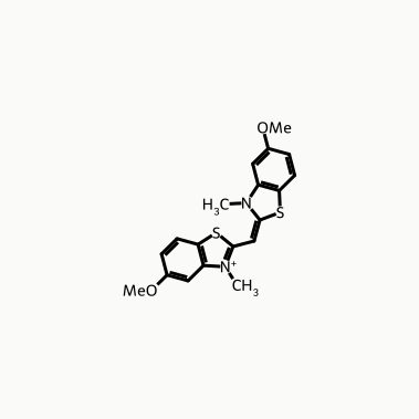 COc1ccc2c(c1)N(C)C(=Cc1sc3ccc(OC)cc3[n+]1C)S2